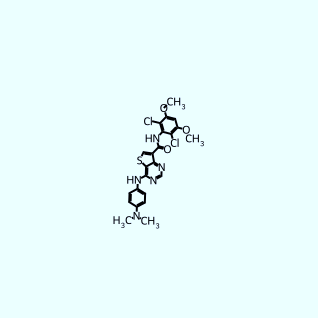 COc1cc(OC)c(Cl)c(NC(=O)c2csc3c(Nc4ccc(N(C)C)cc4)ncnc23)c1Cl